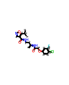 C=C(CCNC(=O)c1cnoc1C(C)C)NC(=O)COc1ccc(Cl)c(F)c1